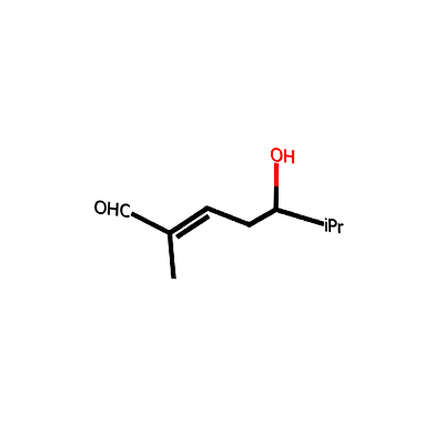 CC(C=O)=CCC(O)C(C)C